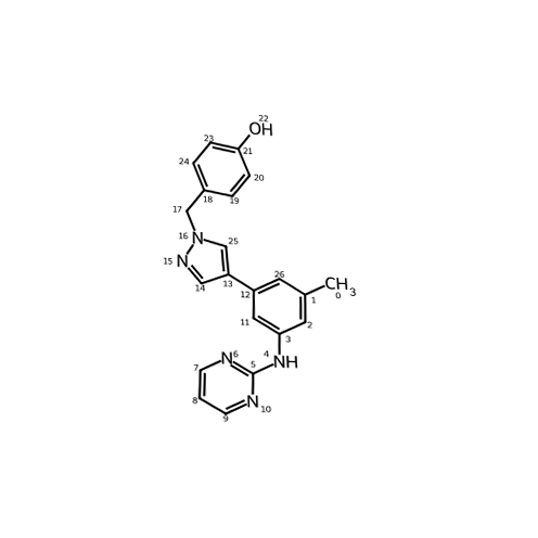 Cc1cc(Nc2ncccn2)cc(-c2cnn(Cc3ccc(O)cc3)c2)c1